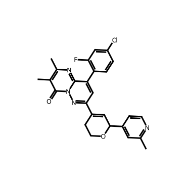 Cc1cc(C2C=C(c3cc(-c4ccc(Cl)cc4F)c4nc(C)c(C)c(=O)n4n3)CCO2)ccn1